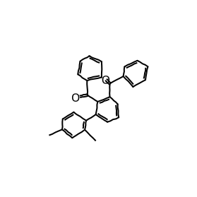 Cc1ccc(-c2cccc(C(=O)c3ccccc3)c2C(=O)c2ccccc2)c(C)c1